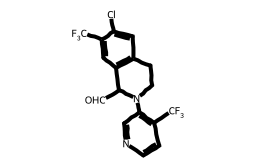 O=CC1c2cc(C(F)(F)F)c(Cl)cc2CCN1c1cnccc1C(F)(F)F